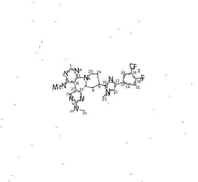 CNc1ncnc(N2CCC(c3nc(-c4ccc(F)c(C(F)(F)F)c4)cn3C)CC2)c1-c1cnc(N(C)C)nc1